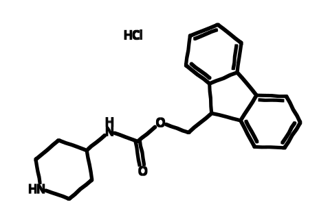 Cl.O=C(NC1CCNCC1)OCC1c2ccccc2-c2ccccc21